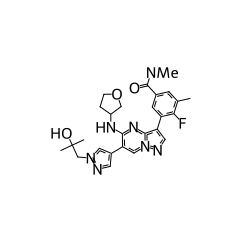 CNC(=O)c1cc(C)c(F)c(-c2cnn3cc(-c4cnn(CC(C)(C)O)c4)c(NC4CCOC4)nc23)c1